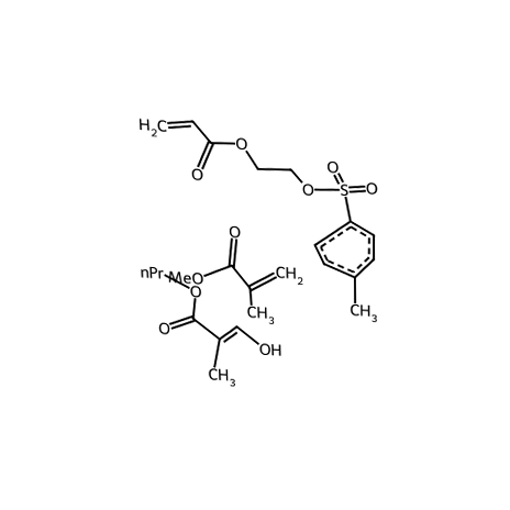 C=C(C)C(=O)OC.C=CC(=O)OCCOS(=O)(=O)c1ccc(C)cc1.CCCOC(=O)C(C)=CO